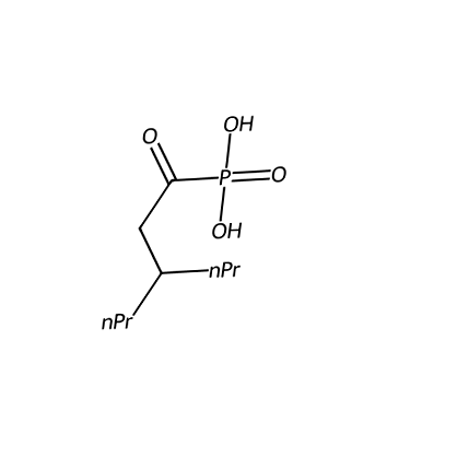 CCCC(CCC)CC(=O)P(=O)(O)O